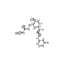 C/C(=N\OCc1cccc(C)c1)c1ccc(Cl)c(CCC(=O)CO)c1